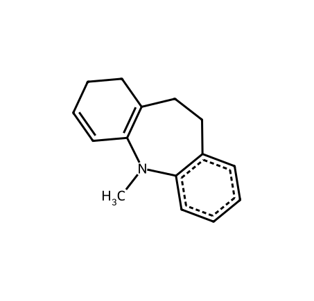 CN1C2=C(CCC=C2)CCc2ccccc21